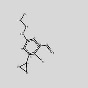 CCCOc1cc(C=O)c(I)c(C2CC2)c1